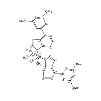 COc1cc(OC)cc(-c2cccc3c2C=C[CH]3[Hf]([CH3])([CH3])(=[C](C)C)[CH]2C=Cc3c(-c4cc(OC)cc(OC)c4)cccc32)c1